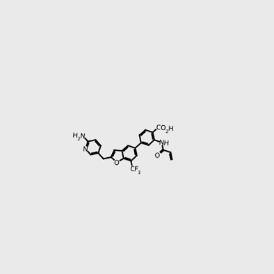 C=CC(=O)Nc1cc(-c2cc(C(F)(F)F)c3oc(Cc4ccc(N)nc4)cc3c2)ccc1C(=O)O